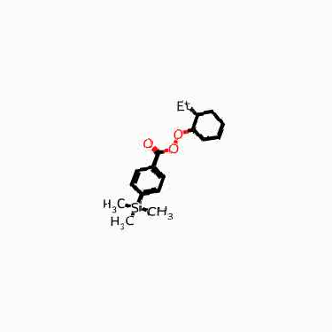 CCC1CCCC[C]1OOC(=O)c1ccc([Si](C)(C)C)cc1